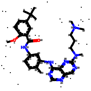 COc1ccc(C(C)(C)C)cc1C(=O)Nc1ccc(C)c(Nc2ncnc3cnc(N(C)CCCN(C)C)nc23)c1